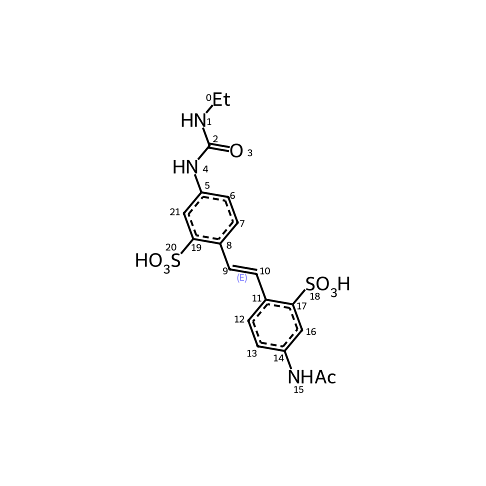 CCNC(=O)Nc1ccc(/C=C/c2ccc(NC(C)=O)cc2S(=O)(=O)O)c(S(=O)(=O)O)c1